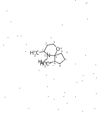 CC1CCOC2(CCCC2C)N1C